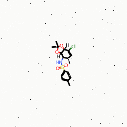 Cc1ccc(S(=O)(=O)N[C@H]2[C@@H]3OC(C)(C)O[C@@H]3C(Cl)=C[C@H]2C)cc1